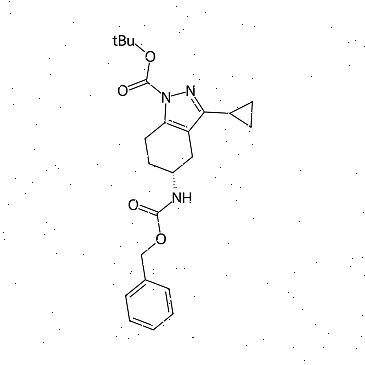 CC(C)(C)OC(=O)n1nc(C2CC2)c2c1CC[C@@H](NC(=O)OCc1ccccc1)C2